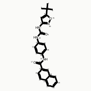 CC(C)(C)c1cc(NC(=O)Nc2ccc(NC(=O)c3ccc4ccccc4c3)cc2)no1